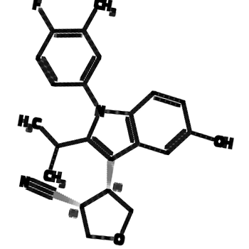 Cc1cc(-n2c(C(C)C)c([C@@H]3COC[C@@H]3C#N)c3cc(O)ccc32)ccc1F